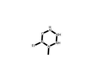 C[CH2][Al]1[O][AlH][AlH][AlH][Al]1[CH3]